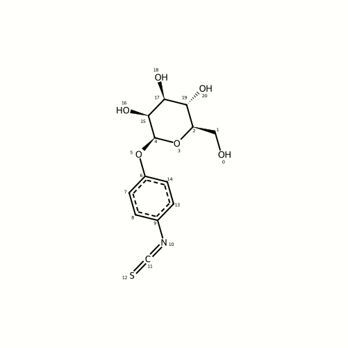 OC[C@H]1O[C@@H](Oc2ccc(N=C=S)cc2)[C@@H](O)[C@@H](O)[C@@H]1O